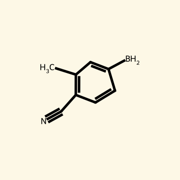 Bc1ccc(C#N)c(C)c1